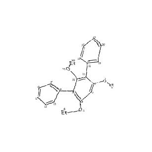 CCOc1cc(OCC)c(-c2ccccc2)c(OCC)c1-c1ccccc1